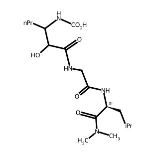 CCCC(NC(=O)O)C(O)C(=O)NCC(=O)N[C@@H](CC(C)C)C(=O)N(C)C